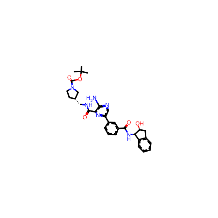 CC(C)(C)OC(=O)N1CC[C@@H](CNC(=O)c2nc(-c3cccc(C(=O)N[C@@H]4c5ccccc5C[C@@H]4O)c3)cnc2N)C1